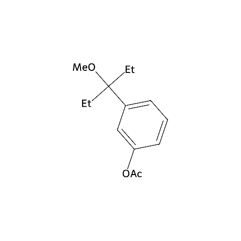 CCC(CC)(OC)c1cccc(OC(C)=O)c1